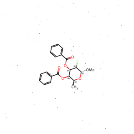 CO[C@@H]1O[C@@H](C)[C@@H](OC(=O)c2ccccc2)[C@@H](OC(=O)c2ccccc2)[C@H]1F